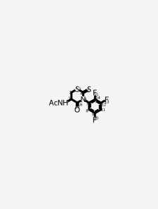 CC(=O)NC1CSC(=S)N(c2cc(F)cc(F)c2F)C1=O